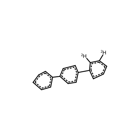 [2H]c1cccc(-c2ccc(-c3ccccc3)cc2)c1[2H]